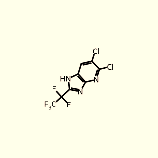 FC(F)(F)C(F)(F)c1nc2nc(Cl)c(Cl)cc2[nH]1